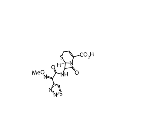 CO/N=C(\C(=O)NC1C(=O)N2C(C(=O)O)=CCS[C@H]12)c1csnn1